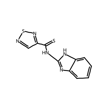 S=C(Nc1nc2ccccc2[nH]1)c1cnsn1